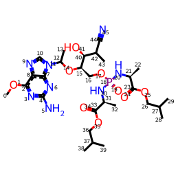 COc1nc(N)nc2c1ncn2C(C)O[C@H](COP(=O)(N[C@@H](C)C(=O)OCC(C)C)N[C@@H](C)C(=O)OCC(C)C)[C@@H](O)C(C)C#N